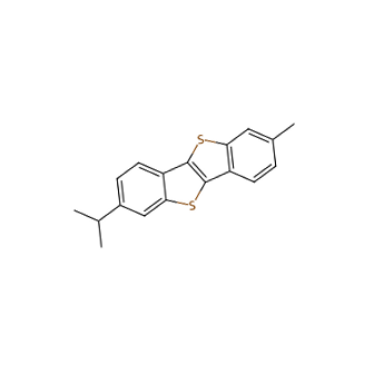 Cc1ccc2c(c1)sc1c3ccc(C(C)C)cc3sc21